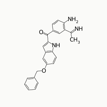 CC(=N)c1cc(C(=O)c2cc3cc(OCc4ccccc4)ccc3[nH]2)ccc1N